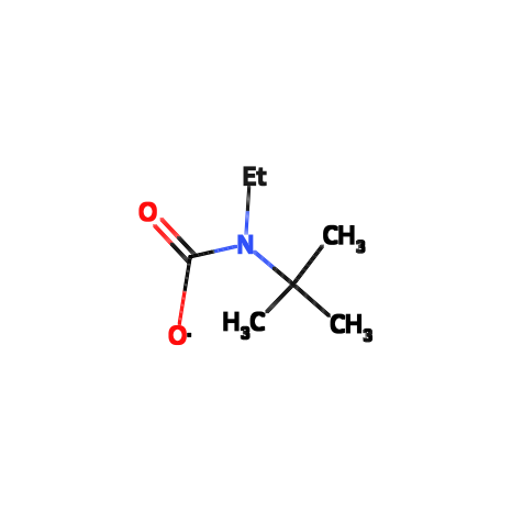 CCN(C([O])=O)C(C)(C)C